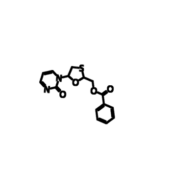 O=C(OCC1OC(n2cccnc2=O)CS1)c1ccccc1